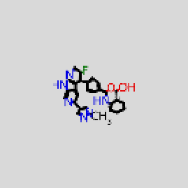 Cn1cc(-c2cc3c(cn2)[nH]c2ncc(F)c(-c4ccc(C(=O)N[C@H]5CCCC[C@@H]5CO)cc4)c23)cn1